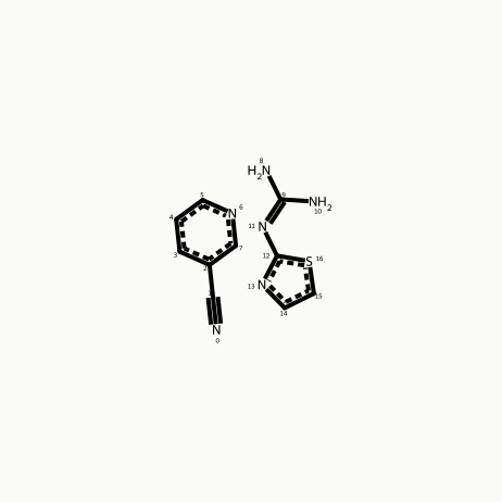 N#Cc1cccnc1.NC(N)=Nc1nccs1